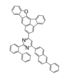 c1ccc(-c2ccc3cc(-c4cc(-c5cc6c7c(c8oc9ccccc9c8cc7c5)-c5ccccc5-6)nc(-c5ccccc5-c5ccccc5)n4)ccc3c2)cc1